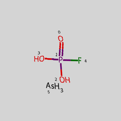 O=P(O)(O)F.[AsH3]